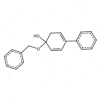 OC1(OCc2ccccc2)C=CC(c2ccccc2)=CC1